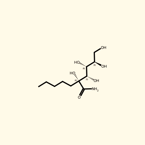 CCCCC[C@](O)(C(N)=O)[C@@H](O)[C@H](O)[C@H](O)CO